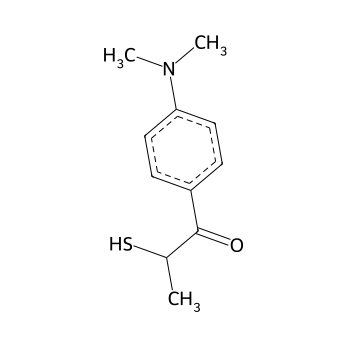 CC(S)C(=O)c1ccc(N(C)C)cc1